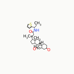 CCC(NC(=O)C[C@@H](C)C1CCC2C3C(=O)CC4CC(=O)CCC4(C)[C@H]3CCC21C)c1cccs1